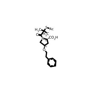 CC(=O)SC(C)(C)C(=O)N1C[C@H](OCCc2ccccc2)C[C@H]1C(=O)O